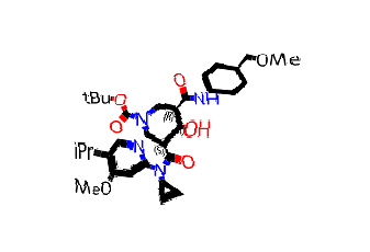 COC[C@H]1CC[C@H](NC(=O)[C@@H]2CN(C(=O)OC(C)(C)C)C[C@H](C(=O)N(c3cc(OC)c(C(C)C)cn3)C3CC3)[C@@H]2O)CC1